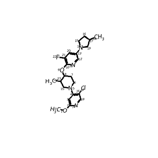 COc1cc(N2CCC(Oc3ncc(N4CCC(C)C4)cc3F)C(C)C2)c(Cl)cn1